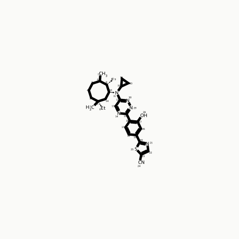 CC[C@]1(C)CCCC(C)[C@H](F)[C@H](N(c2cnc(-c3ccc(-c4ncc(C#N)s4)cc3O)nn2)C2CC2)C1